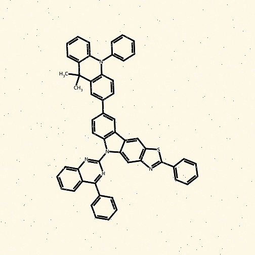 CC1(C)c2ccccc2N(c2ccccc2)c2ccc(-c3ccc4c(c3)c3cc5sc(-c6ccccc6)nc5cc3n4-c3nc(-c4ccccc4)c4ccccc4n3)cc21